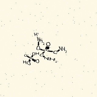 NOP(=O)(ON)ON.O=P([O-])(O)O.[H+]